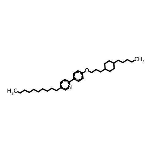 CCCCCCCCCCc1ccc(-c2ccc(OCCCC3CCC(CCCCC)CC3)cc2)nc1